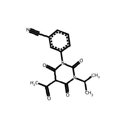 CC(=O)C1C(=O)N(c2cccc(C#N)c2)C(=O)N(C(C)C)C1=O